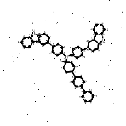 CC1(N(c2ccc(-c3ccc4oc5ccccc5c4c3)cc2)c2ccc(C3C=CC4Oc5ccccc5C4C3)cc2)C=CC(c2ccc(-c3ccccc3)cc2)=CC1